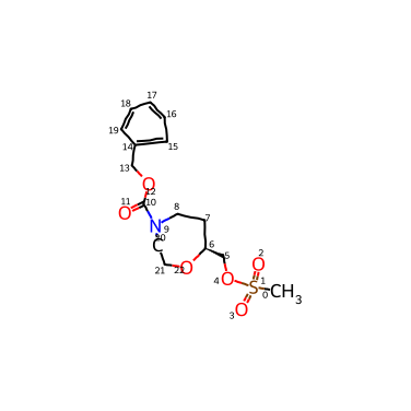 CS(=O)(=O)OC[C@@H]1CCN(C(=O)OCc2ccccc2)CCO1